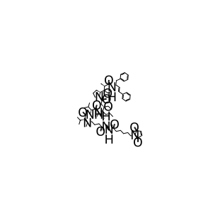 CC[C@H](C)[C@@H]([C@@H](CC(=O)N1CCC[C@H]1[C@H](OC)[C@@H](C)C(=O)N[C@H](C=Cc1ccccc1)Cc1ccccc1)OC)N(C)C(=O)[C@@H](NC(=O)[C@H](C(C)C)N(C)CCCC(=O)NNC(=O)CCCCCN1C(=O)C=CC1=O)C(C)C